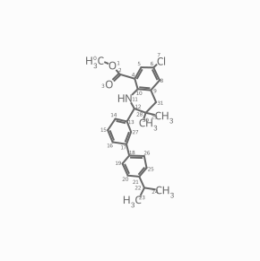 COC(=O)c1cc(Cl)cc2c1NC(c1cccc(-c3ccc(C(C)C)cc3)c1)C(C)(C)C2